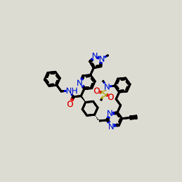 C#Cc1cnc(C[C@H]2CC[C@H](C(C(=O)NCc3ccccc3)c3ccc(-c4cnn(C)c4)cn3)CC2)nc1CCc1ccccc1N(C)S(C)(=O)=O